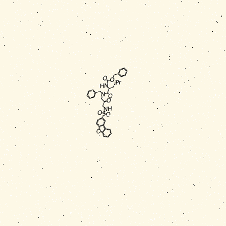 CC(C)CC(NC(=O)OCc1ccccc1)C(=O)N(CC(=O)CNS(=O)(=O)c1ccc2oc3ccccc3c2c1)Cc1ccccc1